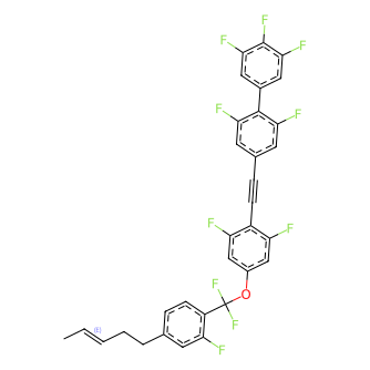 C/C=C/CCc1ccc(C(F)(F)Oc2cc(F)c(C#Cc3cc(F)c(-c4cc(F)c(F)c(F)c4)c(F)c3)c(F)c2)c(F)c1